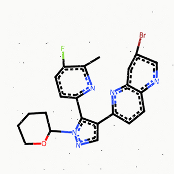 Cc1nc(-c2c(-c3ccc4ncc(Br)cc4n3)cnn2C2CCCCO2)ccc1F